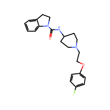 O=C(NC1CCN(CCOc2ccc(F)cc2)CC1)N1CCc2ccccc21